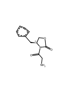 NCC(=O)N1C(=O)OC[C@@H]1Cc1ccccc1